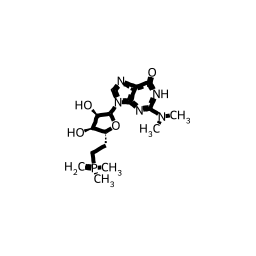 C=P(C)(C)CC[C@H]1OC(n2cnc3c(=O)[nH]c(N(C)C)nc32)[C@H](O)[C@@H]1O